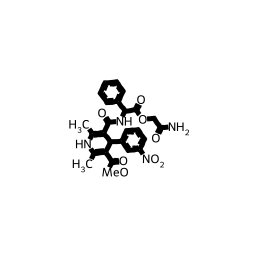 COC(=O)C1=C(C)NC(C)=C(C(=O)NC(C(=O)OCC(N)=O)c2ccccc2)C1c1cccc([N+](=O)[O-])c1